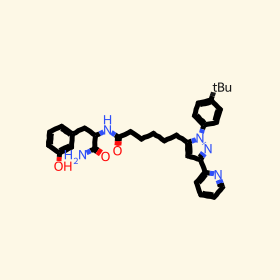 CC(C)(C)c1ccc(-n2nc(-c3ccccn3)cc2CCCCCC(=O)NC(Cc2cccc(O)c2)C(N)=O)cc1